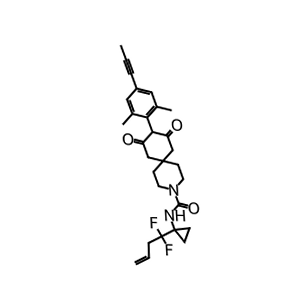 C=CCC(F)(F)C1(NC(=O)N2CCC3(CC2)CC(=O)C(c2c(C)cc(C#CC)cc2C)C(=O)C3)CC1